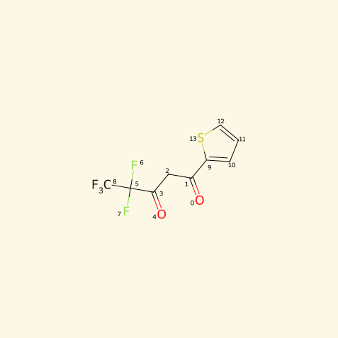 O=C(CC(=O)C(F)(F)C(F)(F)F)c1cccs1